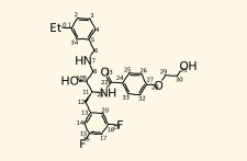 CCc1cccc(CNC[C@H](O)[C@H](Cc2cc(F)cc(F)c2)NC(=O)c2ccc(OCCO)cc2)c1